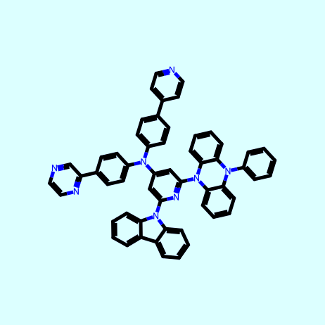 c1ccc(N2c3ccccc3N(c3cc(N(c4ccc(-c5ccncc5)cc4)c4ccc(-c5cnccn5)cc4)cc(-n4c5ccccc5c5ccccc54)n3)c3ccccc32)cc1